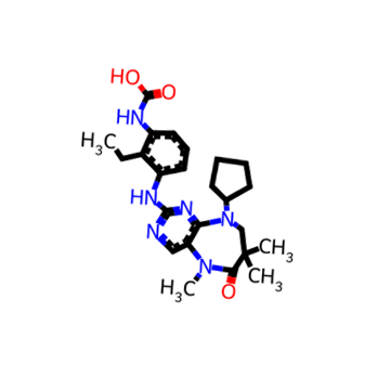 CCc1c(NC(=O)O)cccc1Nc1ncc2c(n1)N(C1CCCC1)CC(C)(C)C(=O)N2C